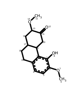 COc1ccc2c(c1O)C1CC(=O)C(OC)CC1CC2